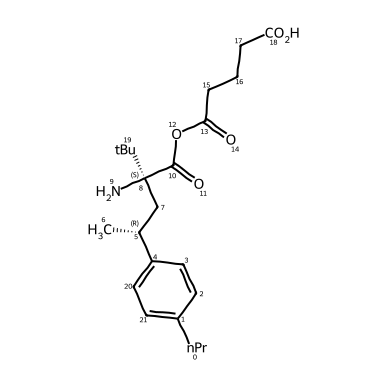 CCCc1ccc([C@H](C)C[C@@](N)(C(=O)OC(=O)CCCC(=O)O)C(C)(C)C)cc1